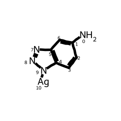 Nc1ccc2c(c1)nn[n]2[Ag]